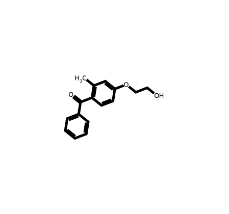 Cc1cc(OCCO)ccc1C(=O)c1ccccc1